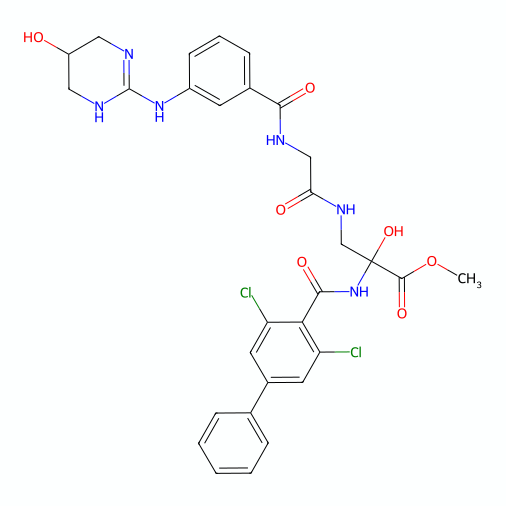 COC(=O)C(O)(CNC(=O)CNC(=O)c1cccc(NC2=NCC(O)CN2)c1)NC(=O)c1c(Cl)cc(-c2ccccc2)cc1Cl